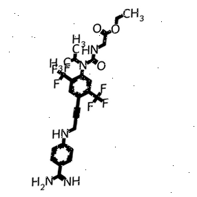 CCOC(=O)CNC(=O)N(c1cc(C(F)(F)F)c(C#CCNc2ccc(C(=N)N)cc2)cc1C(F)(F)F)C(C)C